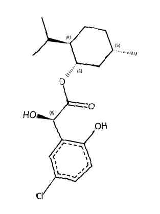 CC(C)[C@H]1CC[C@H](C)C[C@@H]1OC(=O)[C@H](O)c1cc(Cl)ccc1O